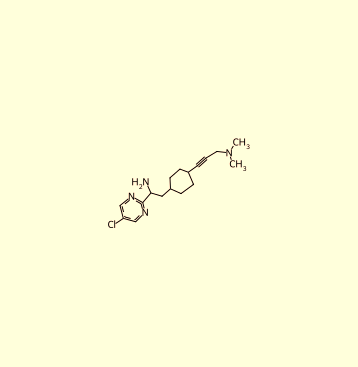 CN(C)CC#CC1CCC(CC(N)c2ncc(Cl)cn2)CC1